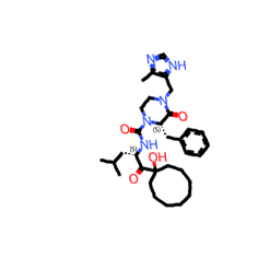 Cc1nc[nH]c1CN1CCN(C(=O)N[C@@H](CC(C)C)C(=O)C2(O)CCCCCCCC2)[C@@H](Cc2ccccc2)C1=O